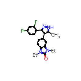 CCn1c(=O)n(CC)c2cc(-c3c(-c4ccc(F)cc4F)n[nH]c3C)ccc21